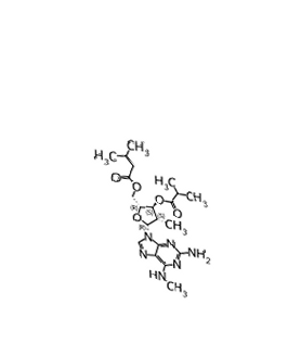 CNc1nc(N)nc2c1ncn2[C@@H]1O[C@H](COC(=O)CC(C)C)[C@@H](OC(=O)C(C)C)[C@@H]1C